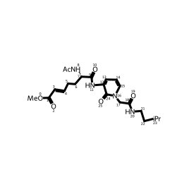 COC(=O)C=CCC[C@H](NC(C)=O)C(=O)Nc1cccn(CC(=O)NCCC(C)C)c1=O